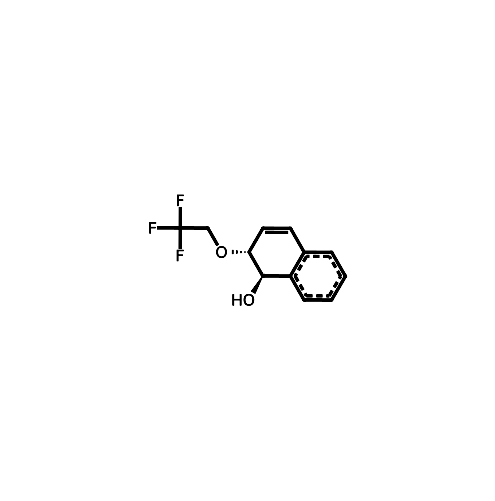 O[C@@H]1c2ccccc2C=C[C@H]1OCC(F)(F)F